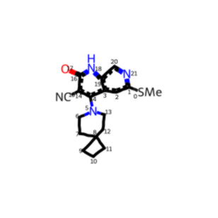 CSc1cc2c(N3CCC4(CCC4)CC3)c(C#N)c(=O)[nH]c2cn1